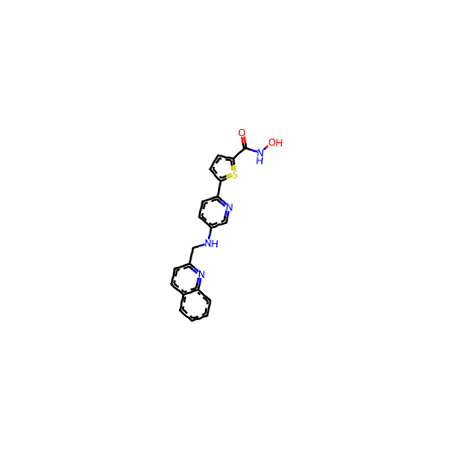 O=C(NO)c1ccc(-c2ccc(NCc3ccc4ccccc4n3)cn2)s1